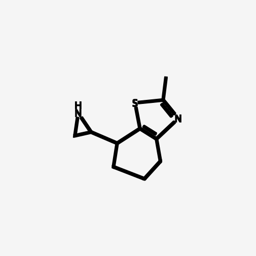 Cc1nc2c(s1)C(C1CN1)CCC2